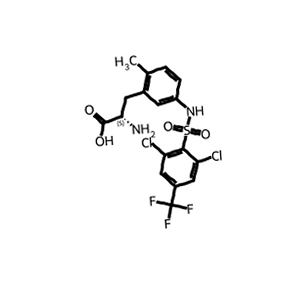 Cc1ccc(NS(=O)(=O)c2c(Cl)cc(C(F)(F)F)cc2Cl)cc1C[C@H](N)C(=O)O